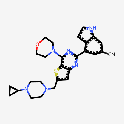 N#Cc1cc(-c2nc(N3CCOCC3)c3sc(CN4CCN(C5CC5)CC4)cc3n2)c2cc[nH]c2c1